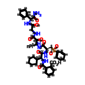 CCCC(NC(=O)[C@H](CS(=O)(=O)c1ccccc1)NC(=O)[C@@H](NC(=O)c1ccccc1C(=O)O)C1CCCCC1)C(=O)C(=O)NCC(=O)N[C@H](C(N)=O)c1ccccc1